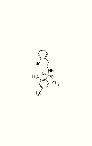 Cc1cc(C)c(S(=O)(=O)NCCc2ccccc2Br)c(C)c1